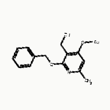 CCC(C)Oc1cc(C)nc(OCc2ccccc2)c1CO